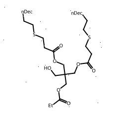 CCCCCCCCCCCCSCCC(=O)OCC(CO)(COC(=O)CC)COC(=O)CCSCCCCCCCCCCCC